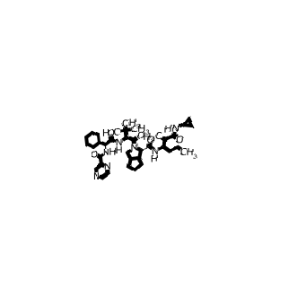 CCCC(NC(=O)[C@@H]1C2CCCC2CN1C(=O)C(NC(=O)[C@@H](NC(=O)c1cnccn1)C1CCCCC1)C(C)(C)C)C(C)C(=O)NC1CC1